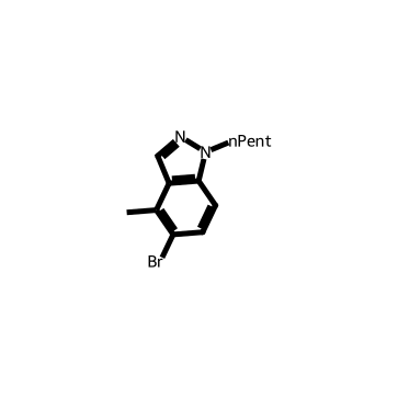 CCCCCn1ncc2c(C)c(Br)ccc21